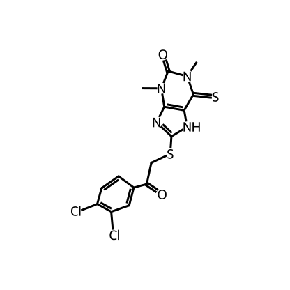 Cn1c(=S)c2[nH]c(SCC(=O)c3ccc(Cl)c(Cl)c3)nc2n(C)c1=O